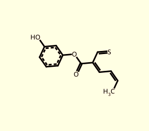 C/C=C\C=C(/C=S)C(=O)Oc1cccc(O)c1